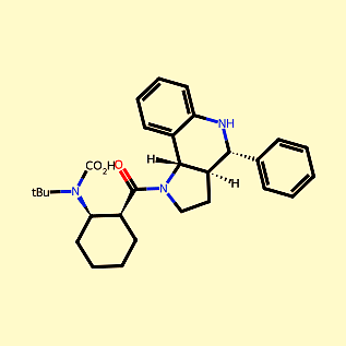 CC(C)(C)N(C(=O)O)[C@@H]1CCCC[C@@H]1C(=O)N1CC[C@@H]2[C@@H](c3ccccc3)Nc3ccccc3[C@H]21